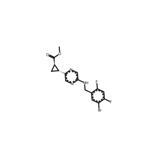 COC(=O)[C@@H]1C[C@H]1c1cnc(NCc2cc(Br)c(F)cc2F)cn1